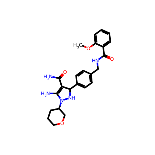 COc1ccccc1C(=O)NCc1ccc(C2NN(C3CCCOC3)C(N)=C2C(N)=O)cc1